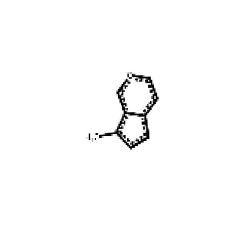 Cc1ccc2ccocc1-2